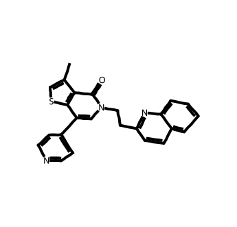 Cc1csc2c(-c3ccncc3)cn(CCc3ccc4ccccc4n3)c(=O)c12